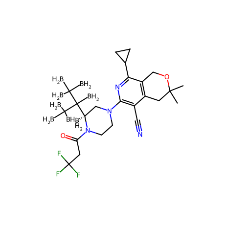 BC(B)(B)C(B)(C(B)(B)B)[C@@]1(B)CN(c2nc(C3CC3)c3c(c2C#N)CC(C)(C)OC3)CCN1C(=O)CC(F)(F)F